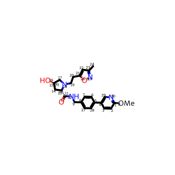 COc1ccc(-c2ccc(CNC(=O)[C@@H]3C[C@@H](O)CN3CCc3cc(C)no3)cc2)cn1